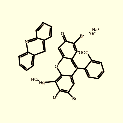 O=C([O-])c1ccccc1-c1c2cc(Br)c(=O)cc-2oc2[c]([Hg][OH])c([O-])c(Br)cc12.[Na+].[Na+].c1ccc2nc3ccccc3cc2c1